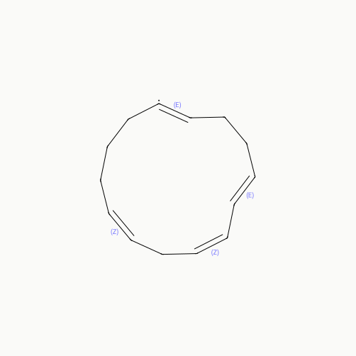 [C]1=C/CC/C=C/C=C\C/C=C\CCC/1